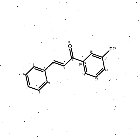 O=C(/C=C/c1ccccc1)c1cccc(F)c1